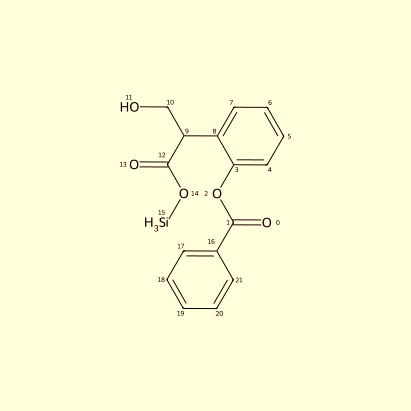 O=C(Oc1ccccc1C(CO)C(=O)O[SiH3])c1ccccc1